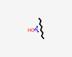 CCCCCCCC.CN(C)O